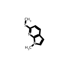 CSc1ccc2ccn(C)c2n1